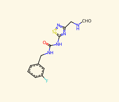 O=CNCc1nsc(NC(=O)NCc2cccc(F)c2)n1